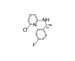 C[C@H](Nc1c[c]cc(Cl)n1)c1ccc(F)cc1